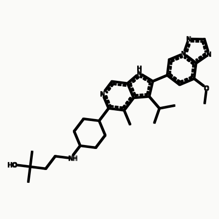 COc1cc(-c2[nH]c3cnc(C4CCC(NCCC(C)(C)O)CC4)c(C)c3c2C(C)C)cn2ncnc12